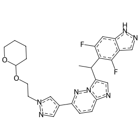 CC(c1c(F)cc2[nH]ncc2c1F)c1cnc2ccc(-c3cnn(CCOC4CCCCO4)c3)nn12